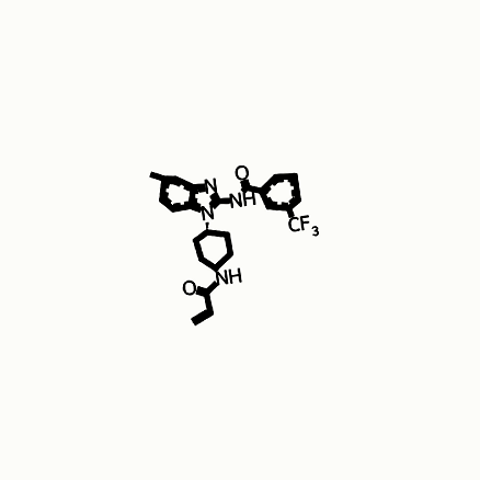 C=CC(=O)N[C@H]1CC[C@H](n2c(NC(=O)c3cccc(C(F)(F)F)c3)nc3cc(C)ccc32)CC1